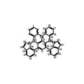 c1ccc2c(c1)B1c3c(cc4c5c3N2c2ccccc2B5n2ccc3cccc-4c32)-c2cccc3ccn1c23